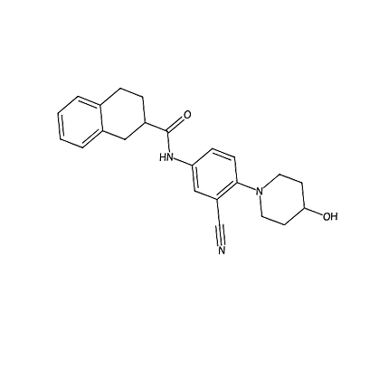 N#Cc1cc(NC(=O)C2CCc3ccccc3C2)ccc1N1CCC(O)CC1